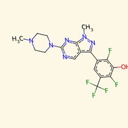 CN1CCN(c2ncc3c(-c4cc(C(F)(F)F)c(F)c(O)c4F)nn(C)c3n2)CC1